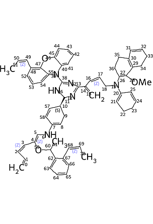 C=C/C=C\C(=C\NC1=CC[C@H](C2N=C(C(=C)/C=C\CN(C3=CCCC=C3)C3=C(OC)C4=C(C=CCC4)CC3)N=C(N3c4ccccc4Oc4c(/C=C\C)cccc43)N2)C=C1)OC(C)c1ccccc1/C=C\C